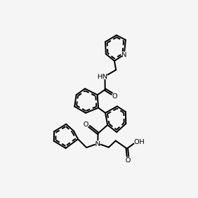 O=C(O)CCN(Cc1ccccc1)C(=O)c1ccccc1-c1ccccc1C(=O)NCc1ccccn1